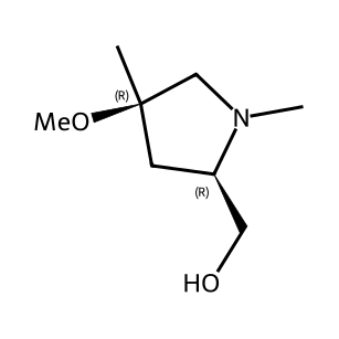 CO[C@]1(C)C[C@H](CO)N(C)C1